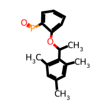 Cc1cc(C)c(C(C)Oc2ccccc2P=O)c(C)c1